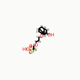 O=S(=O)(O)C(F)(F)COCCCOC12CC3CC(CC(O)(C3)C1)C2